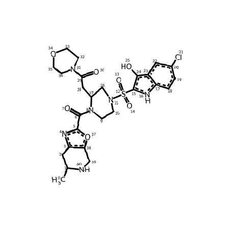 CC1Cc2nc(C(=O)N3CCN(S(=O)(=O)c4[nH]c5ccc(Cl)cc5c4O)CC3CC(=O)N3CCOCC3)oc2CN1